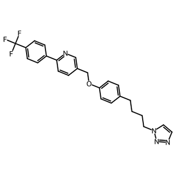 FC(F)(F)c1ccc(-c2ccc(COc3ccc(CCCCn4ccnn4)cc3)cn2)cc1